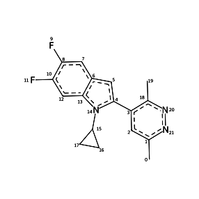 Cc1cc(-c2cc3cc(F)c(F)cc3n2C2CC2)c(C)nn1